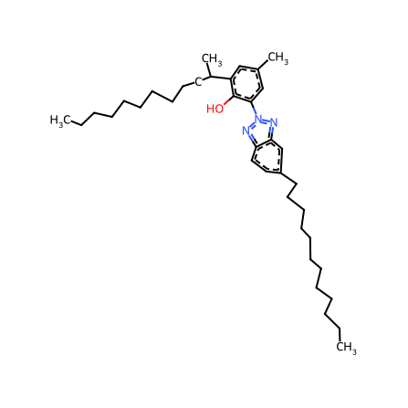 CCCCCCCCCCCCc1ccc2nn(-c3cc(C)cc(C(C)CCCCCCCCCC)c3O)nc2c1